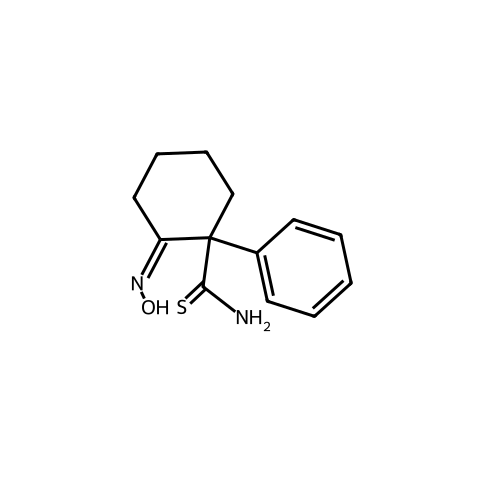 NC(=S)C1(c2ccccc2)CCCC/C1=N/O